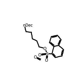 C=O.CCCCCCCCCCCCCCCOS(=O)(=O)c1cccc2ccccc12